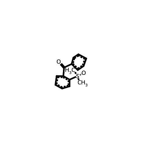 C[S+](C)(=O)c1ccccc1C(=O)c1ccccc1